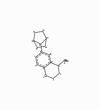 CC(C)(C)C1CCOc2ccc(C3C4CCC3CC4)cc21